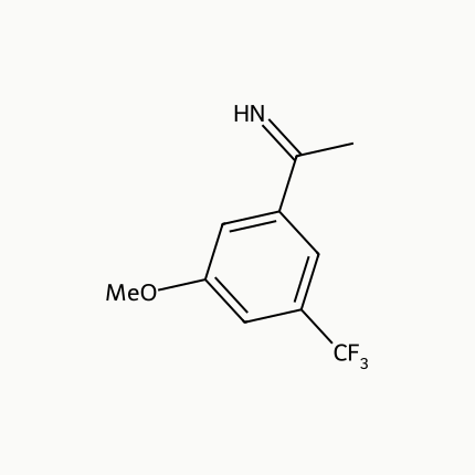 COc1cc(C(C)=N)cc(C(F)(F)F)c1